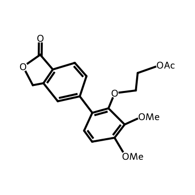 COc1ccc(-c2ccc3c(c2)COC3=O)c(OCCOC(C)=O)c1OC